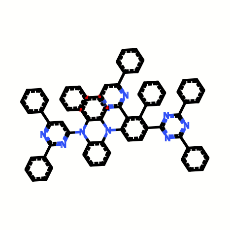 c1ccc(-c2cc(N3c4ccccc4N(c4ccc(-c5nc(-c6ccccc6)nc(-c6ccccc6)n5)c(-c5ccccc5)c4-c4nc(-c5ccccc5)cc(-c5ccccc5)n4)c4ccccc43)nc(-c3ccccc3)n2)cc1